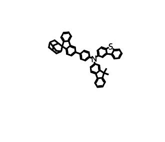 CC1(C)c2ccccc2-c2ccc(N(c3ccc(-c4ccc5c(c4)-c4ccccc4C54C5CC6CC(C5)CC4C6)cc3)c3ccc4sc5ccccc5c4c3)cc21